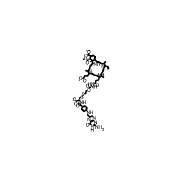 C=CC1=C(C)c2cc3[nH]c(cc4nc(cc5[nH]c(cc1n2)c(C)c5CCC(=O)NNC(=O)OCCSSC[C@@H](NC(=O)c1ccc(NCc2cnc5nc(N)[nH]c(=O)c5n2)cc1)C(=O)O)C(CCC(=O)OC)=C4C)[C@@]1(C)C3=CC=C(C(=O)OC)[C@H]1C(=O)OC